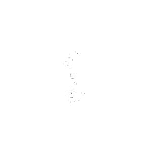 CNc1cnc(N2CCN(Cc3ccc(Cc4ccc5c6c(cccc46)C(=O)N5C4CCC(=O)NC4=O)cc3)C[C@@H]2C)c(OC)c1